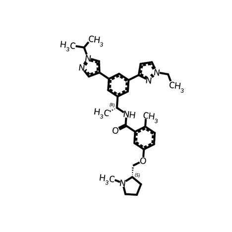 CCn1ccc(-c2cc(-c3cnn(C(C)C)c3)cc([C@@H](C)NC(=O)c3cc(OC[C@@H]4CCCN4C)ccc3C)c2)n1